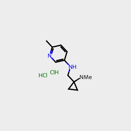 CNC1(CNc2ccc(C)nc2)CC1.Cl.Cl